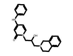 O=c1cc(Nc2ccccc2)ccn1CC(O)CN1CCc2ccccc2C1